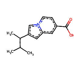 CC(C)C(C)c1cc2cc(C(=O)O)ccn2c1